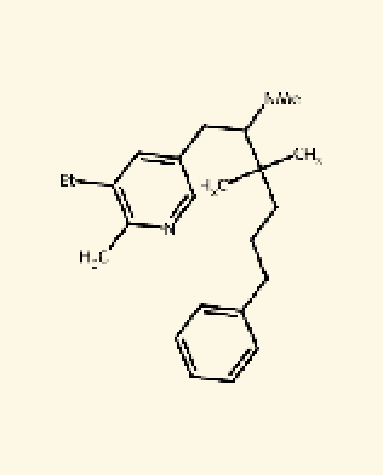 CCc1cc(CC(NC)C(C)(C)CCCc2ccccc2)cnc1C